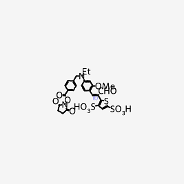 CCN(Cc1ccc(C(=O)ON2C(=O)CCC2=O)cc1)c1ccc(/C=C(\C=O)c2sc(S(=O)(=O)O)cc2S(=O)(=O)O)c(OC)c1